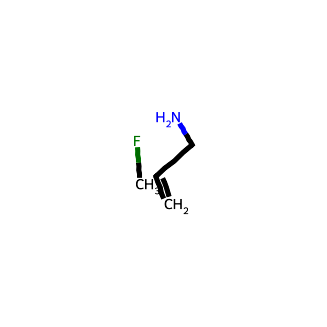 C=CCN.CF